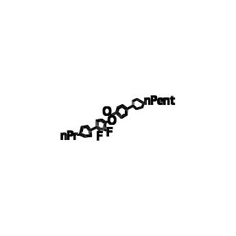 CCCCCC1CCC(c2ccc(C(=O)Oc3ccc(-c4ccc(CCC)cc4)c(F)c3F)cc2)CC1